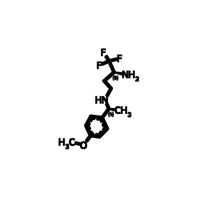 COc1ccc([C@H](C)NCC[C@H](N)C(F)(F)F)cc1